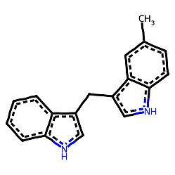 Cc1ccc2[nH]cc(Cc3c[nH]c4ccccc34)c2c1